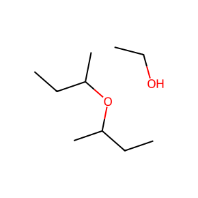 CCC(C)OC(C)CC.CCO